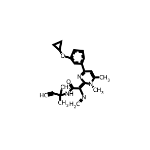 C#CC(C)(C)NC(=O)/C(N=C)=C1\N=C(c2cccc(OC3CC3)c2)C=C(C)N1C